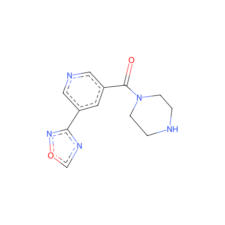 O=C(c1cncc(-c2ncon2)c1)N1CCNCC1